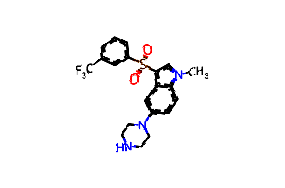 Cn1cc(S(=O)(=O)c2cccc(C(F)(F)F)c2)c2cc(N3CCNCC3)ccc21